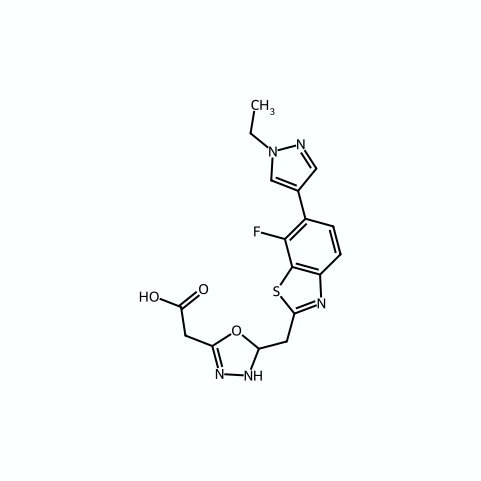 CCn1cc(-c2ccc3nc(CC4NN=C(CC(=O)O)O4)sc3c2F)cn1